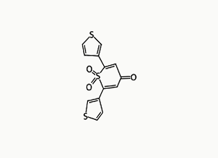 O=C1C=C(c2ccsc2)S(=O)(=O)C(c2ccsc2)=C1